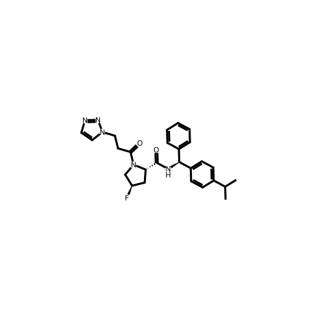 CC(C)c1ccc([C@@H](NC(=O)[C@@H]2C[C@@H](F)CN2C(=O)CCn2ccnn2)c2ccccc2)cc1